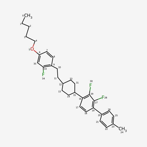 CCCCCOc1ccc(CCC2CCC(c3ccc(-c4ccc(C)cc4)c(F)c3F)CC2)c(F)c1